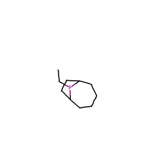 CCP1C2CCCCC1CC2